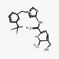 C=C(Nc1cn(Cc2cccc(C(F)(F)F)c2)cn1)C1=CC=C(CO)C(C)N1